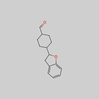 O=CC1CCC(C2Cc3ccccc3O2)CC1